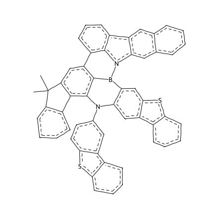 CC1(C)c2ccccc2-c2c1cc1c3c2N(c2ccc4sc5ccccc5c4c2)c2cc4c(cc2B3n2c3cc5ccccc5cc3c3cccc-1c32)sc1ccccc14